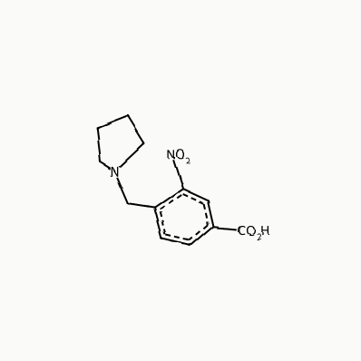 O=C(O)c1ccc(CN2CCCC2)c([N+](=O)[O-])c1